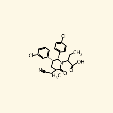 CCC(C(=O)O)N1C(=O)[C@@](C)(CC#N)C[C@H](c2cccc(Cl)c2)[C@H]1c1ccc(Cl)cc1